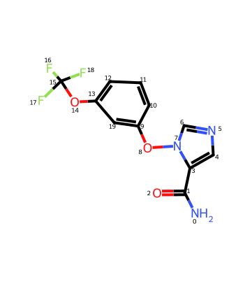 NC(=O)c1cncn1Oc1cccc(OC(F)(F)F)c1